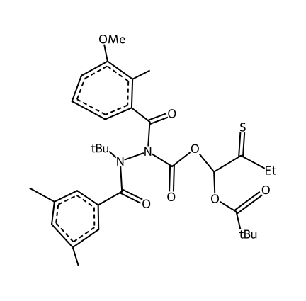 CCC(=S)C(OC(=O)N(C(=O)c1cccc(OC)c1C)N(C(=O)c1cc(C)cc(C)c1)C(C)(C)C)OC(=O)C(C)(C)C